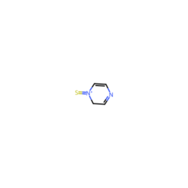 S=[N+]1C=CN=CC1